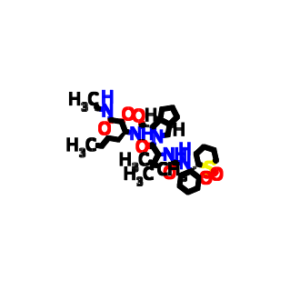 CCCC[C@H](NC(=O)[C@@H]1[C@H]2CCC[C@H]2CN1C(=O)[C@@H](NC(=O)NC1([C@@H]2CCCCS2(=O)=O)CCCCC1)C(C)(C)C)C(=O)C(=O)NCC